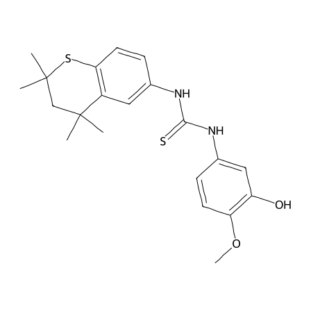 COc1ccc(NC(=S)Nc2ccc3c(c2)C(C)(C)CC(C)(C)S3)cc1O